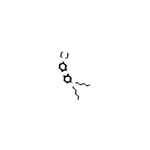 CCCCCN(CCCCC)c1ccc2nc3ccc(N4CCOCC4)cc3[s+]c2c1